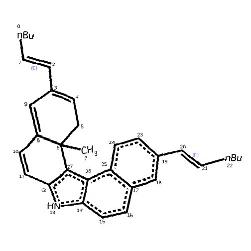 CCCC/C=C/C1=CCC2(C)C(=C1)C=Cc1[nH]c3ccc4cc(/C=C/CCCC)ccc4c3c12